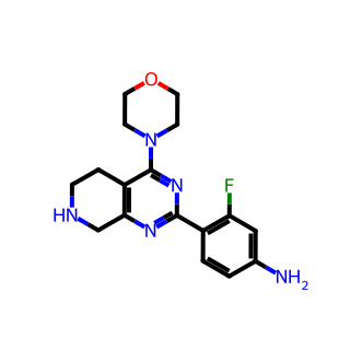 Nc1ccc(-c2nc3c(c(N4CCOCC4)n2)CCNC3)c(F)c1